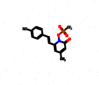 Cc1cc(/C=C/c2ccc(C#N)cc2)n(OS(=O)(=O)C(F)(F)F)c(=O)c1